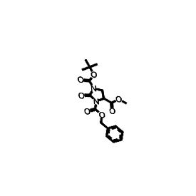 COC(=O)C1CN(C(=O)OC(C)(C)C)C(=O)N1C(=O)OCc1ccccc1